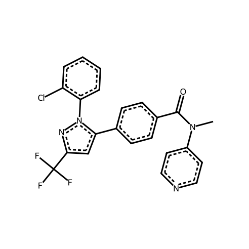 CN(C(=O)c1ccc(-c2cc(C(F)(F)F)nn2-c2ccccc2Cl)cc1)c1ccncc1